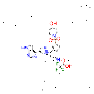 N#CCC(c1cccc(S(=O)(=O)N2CCC(O)CC2)c1)n1cc(-c2ncnc3[nH]ccc23)cn1.O=C(O)C(F)(F)F